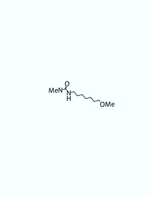 CNC(=O)NCCCCCCCOC